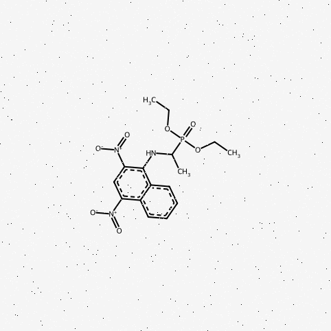 CCOP(=O)(OCC)C(C)Nc1c([N+](=O)[O-])cc([N+](=O)[O-])c2ccccc12